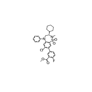 COC(=O)c1cc(-c2cc3c(cc2Cl)N(c2ccccc2)C[C@@H](C2CCCCC2)N(C)S3(=O)=O)ccc1F